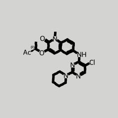 CC(=O)[C@@H](C)Oc1cc2cc(Nc3nc(N4CCCCC4)ncc3Cl)ccc2n(C)c1=O